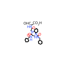 O=C[C@H](CC(=O)O)NC(=O)CN1C(=O)C(NC(=O)c2ccccc2)CN(C(=O)NCc2ccccc2)c2ccccc21